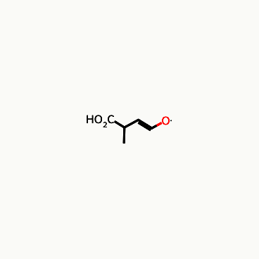 CC(C=C[O])C(=O)O